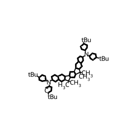 CC(C)(C)c1ccc(N(c2ccc(C(C)(C)C)cc2)c2ccc3cc4c(cc3c2)C(C)(C)c2cc3c(cc2-4)-c2cc4ccc(N(c5ccc(C(C)(C)C)cc5)c5ccc(C(C)(C)C)cc5)cc4cc2C3(C)C)cc1